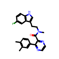 Cc1ccc(-c2nccnc2C(=O)N(C)CCc2c[nH]c3ccc(F)cc23)cc1C